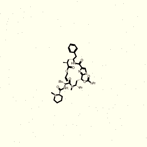 C=CCOC(=O)[C@@H](C)C[C@H](Cc1ccccc1)NC(=O)c1csc([C@@H](C[C@H](C(C)C)N(C)C(=O)[C@@H](NC(=O)[C@H]2CCCCN2C)[C@@H](C)CC)OC(=O)CCC)n1